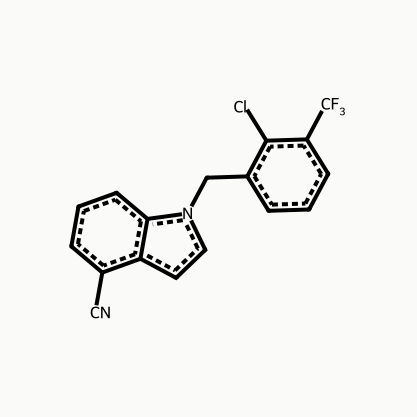 N#Cc1cccc2c1ccn2Cc1cccc(C(F)(F)F)c1Cl